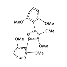 COc1cccc(OC)c1-c1sc(-c2c(OC)cccc2OC)c(OC)c1OC